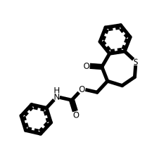 O=C(Nc1ccccc1)OCC1CCSc2ccccc2C1=O